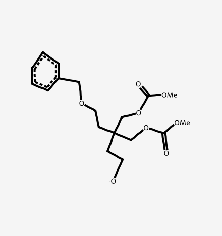 COC(=O)OCC(CC[O])(CCOCc1ccccc1)COC(=O)OC